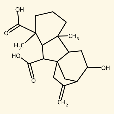 C=C1CC23CC1C(O)CC2C1(C)CCCC(C)(C(=O)O)C1C3C(=O)O